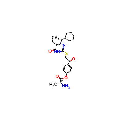 CCc1c(CC2CCCCC2)nc(SCC(=O)c2ccc(OC(=O)[C@@H](C)N)cc2)[nH]c1=O